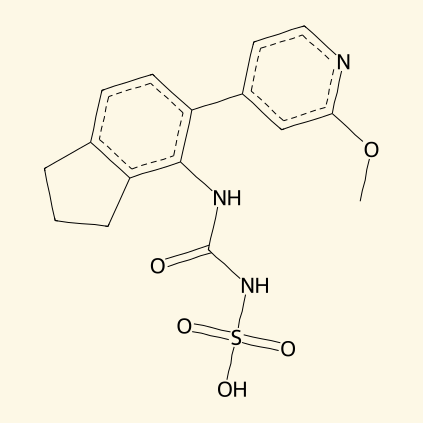 COc1cc(-c2ccc3c(c2NC(=O)NS(=O)(=O)O)CCC3)ccn1